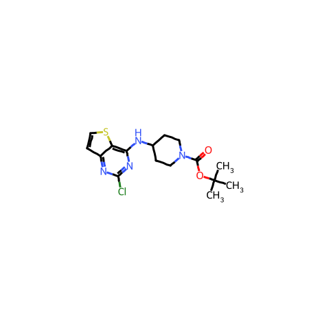 CC(C)(C)OC(=O)N1CCC(Nc2nc(Cl)nc3ccsc23)CC1